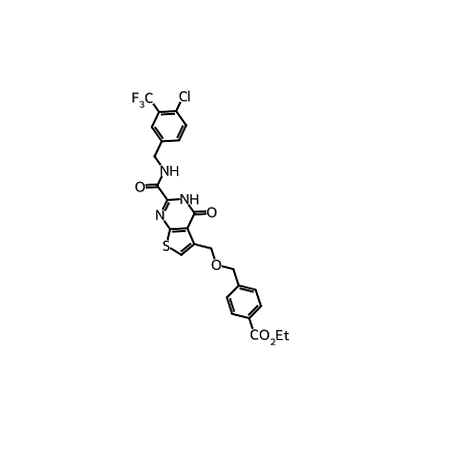 CCOC(=O)c1ccc(COCc2csc3nc(C(=O)NCc4ccc(Cl)c(C(F)(F)F)c4)[nH]c(=O)c23)cc1